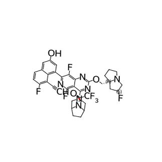 C#Cc1c(F)ccc2cc(O)cc(-c3nc(F)c4c(N5CC6CCC(C5)N6C(=O)C(F)(F)F)nc(OC[C@]56CCCN5C[C@@H](F)C6)nc4c3F)c12